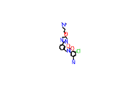 CN(C)CCCOc1cnc(-c2cccc(Cn3c(=O)oc4c(Cl)cc(C#N)cc43)c2)nc1